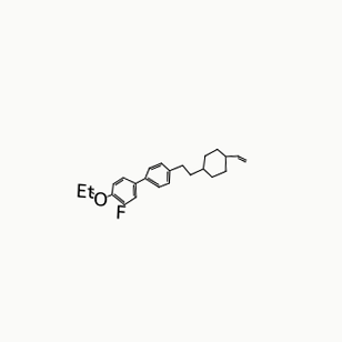 C=CC1CCC(CCc2ccc(-c3ccc(OCC)c(F)c3)cc2)CC1